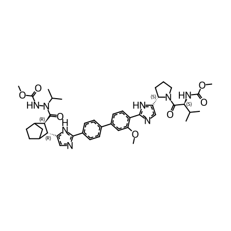 COC(=O)N[C@H](C(=O)N1CCC[C@H]1c1cnc(-c2ccc(-c3ccc(-c4ncc([C@@H]5C6CCC(C6)[C@H]5C(=O)N(NC(=O)OC)C(C)C)[nH]4)cc3)cc2OC)[nH]1)C(C)C